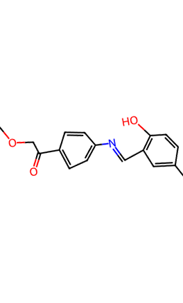 COCC(=O)c1ccc(/N=C/c2cc(C)ccc2O)cc1